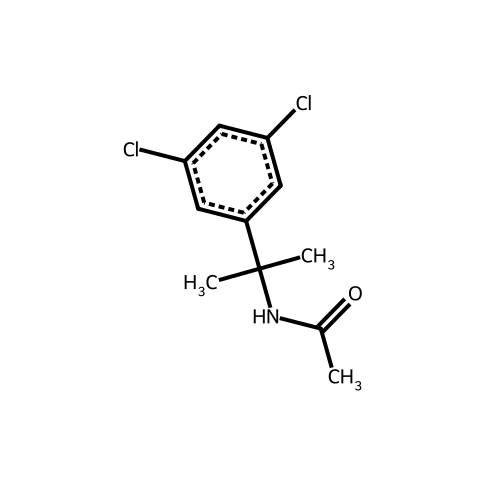 CC(=O)NC(C)(C)c1cc(Cl)cc(Cl)c1